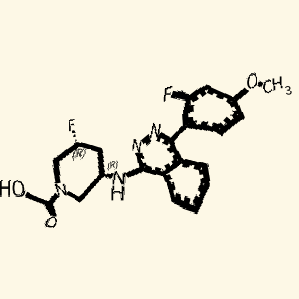 COc1ccc(-c2nnc(N[C@@H]3C[C@@H](F)CN(C(=O)O)C3)c3ccccc23)c(F)c1